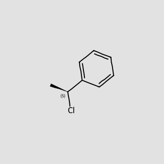 C[C@H](Cl)c1ccccc1